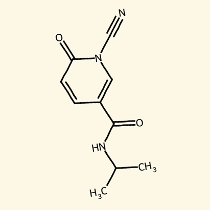 CC(C)NC(=O)c1ccc(=O)n(C#N)c1